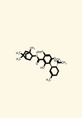 C=C(C)[C@@H]1CCC(C)=C[C@H]1c1c(O)cc(CCCCC)c(C(=O)OC2CC3CC2(C)CC3(C)C)c1O